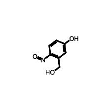 O=Nc1ccc(O)cc1CO